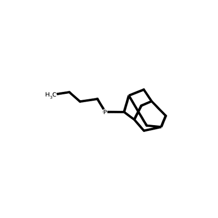 CCCC[P]C1C2CC3CC(C2)CC1C3